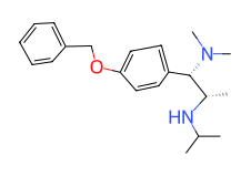 CC(C)N[C@@H](C)[C@H](c1ccc(OCc2ccccc2)cc1)N(C)C